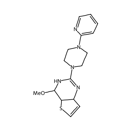 COC1NC(N2CCN(c3ccccn3)CC2)=NC2C=CSC21